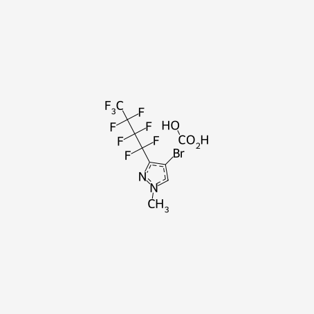 Cn1cc(Br)c(C(F)(F)C(F)(F)C(F)(F)C(F)(F)F)n1.O=C(O)O